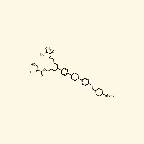 C=C(C)C(=O)OCCCC(CCCOC(=O)C(=C)CO)c1ccc(C2CCC(c3ccc(CCC4CCC(CCCCC)CC4)cc3)CC2)cc1